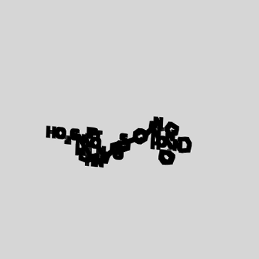 CC(C)[C@H](NC(=O)O)C(=O)N1CCCC1c1nc(-c2cc3sc(-c4ccc(-c5cnc([C@@H]6CCCN6C(=O)[C@@H](c6ccccc6)N6CCCCC6)[nH]5)cc4)cc3o2)c[nH]1